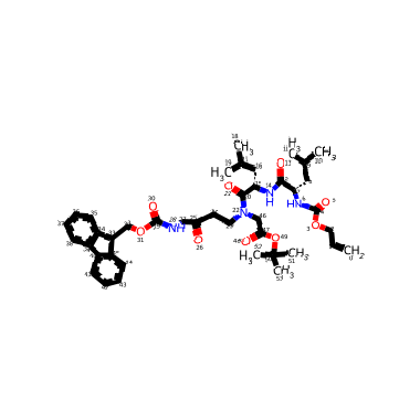 C=CCOC(=O)N[C@@H](CC(C)C)C(=O)N[C@@H](CC(C)C)C(=O)N(CCC(=O)CNC(=O)OCC1c2ccccc2-c2ccccc21)CC(=O)OC(C)(C)C